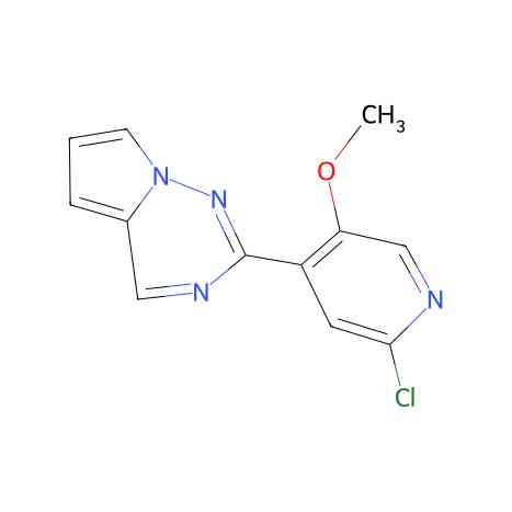 COc1cnc(Cl)cc1-c1ncc2cccn2n1